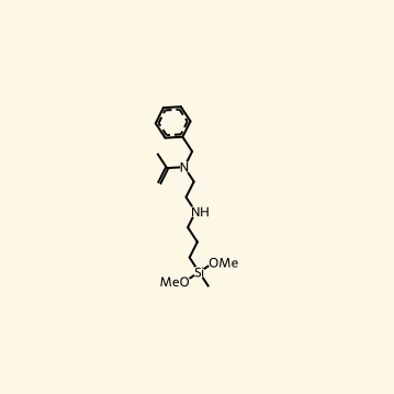 C=C(C)N(CCNCCC[Si](C)(OC)OC)Cc1ccccc1